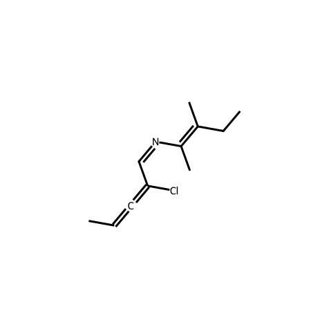 CC=C=C(Cl)/C=N\C(C)=C(/C)CC